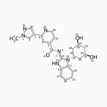 Cn1cc(-c2cc(C(=O)/N=c3\[nH]c4ccccc4n3[C@H]3C[C@H](O)C[C@H](O)C3)ccn2)cn1